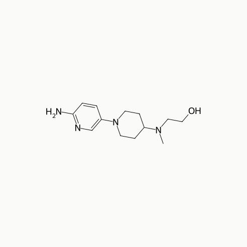 CN(CCO)C1CCN(c2ccc(N)nc2)CC1